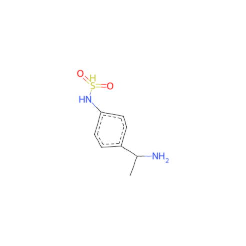 CC(N)c1ccc(N[SH](=O)=O)cc1